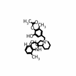 CCCC[N+]1(Cc2cc(C)c(OC(C)=O)c(O)c2)CCCCC1C(=O)Nc1c(C)cccc1C